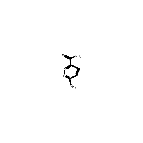 NC(=O)c1ccc(N)nn1